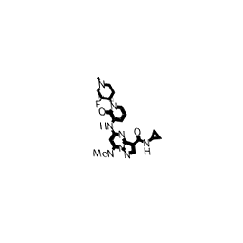 CNc1cc(Nc2cccn([C@@H]3CCN(C)C[C@H]3F)c2=O)nc2c(C(=O)NC3CC3)cnn12